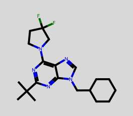 CC(C)(C)c1nc(N2CCC(F)(F)C2)c2ncn(CC3CCCCC3)c2n1